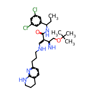 CCC(NC(=O)/C(=C/NCCCc1ccc2c(n1)NCCC2)C(=N)COC(C)(C)C)c1cc(Cl)cc(Cl)c1